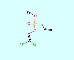 C=CCP(=O)(OC=C(Cl)Cl)OCC